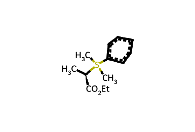 CCOC(=O)[C@@H](C)S(C)(C)c1ccccc1